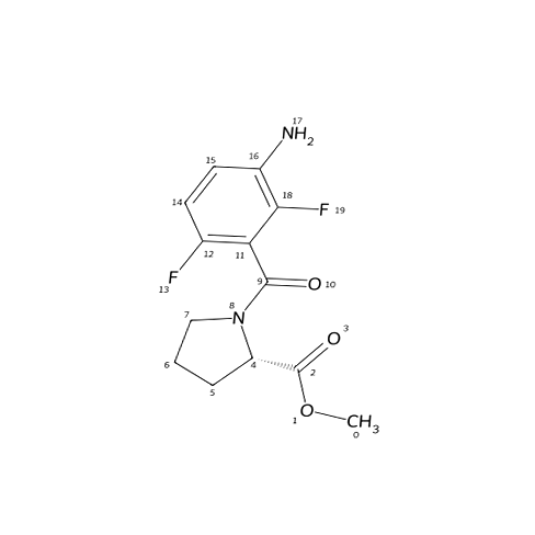 COC(=O)[C@@H]1CCCN1C(=O)c1c(F)ccc(N)c1F